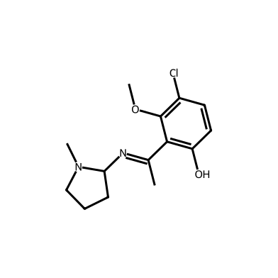 COc1c(Cl)ccc(O)c1/C(C)=N/C1CCCN1C